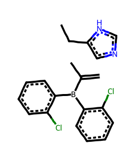 C=C(C)B(c1ccccc1Cl)c1ccccc1Cl.CCc1cnc[nH]1